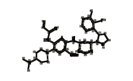 C=CC(=O)Nc1cc(Nc2cc(N3OCCC3c3cccc(C)c3F)ncn2)c(OC)cc1N1CCC(N(C)C)CC1